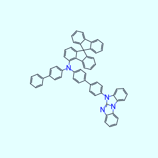 c1ccc(-c2ccc(N(c3ccc(-c4ccc(-n5c6ccccc6n6c7ccccc7nc56)cc4)cc3)c3cccc4c3-c3ccccc3C43c4ccccc4-c4ccccc43)cc2)cc1